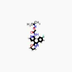 CC(C)=NOCC(=O)Nc1cc(-c2c(-c3ccc(F)cc3)nn3c2OCCC3)ccn1